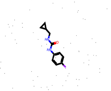 O=C(NCC1CC1)Nc1ccc(I)cc1